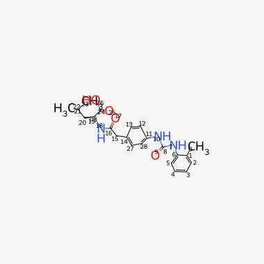 Cc1ccccc1NC(=O)Nc1ccc(CC(=O)N[C@@H](CC(C)C)C(=O)O)cc1